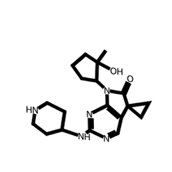 CC1(O)CCCC1N1C(=O)C2(CC2)c2cnc(NC3CCNCC3)nc21